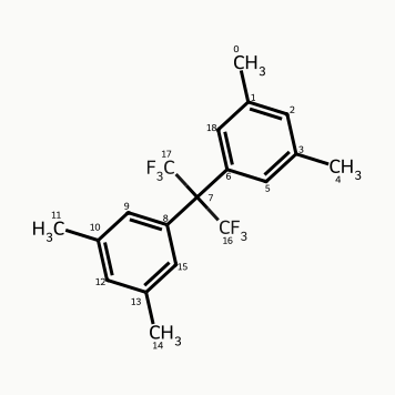 Cc1cc(C)cc(C(c2cc(C)cc(C)c2)(C(F)(F)F)C(F)(F)F)c1